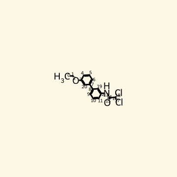 CCOc1cccc(-c2cccc(NC(=O)C(Cl)Cl)c2)c1